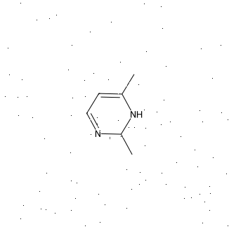 C[C]1N=CC=C(C)N1